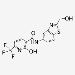 O=C(Nc1ccc2sc(CO)nc2c1)c1ccc(C(F)(F)F)nc1O